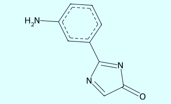 Nc1cccc(C2=NC(=O)C=N2)c1